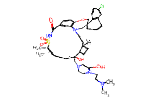 C[C@@H]1[C@@H](C)CCC[C@@](O)(CN2CCN(CCN(C)C)C(O)C2)C2CC[C@H]2CN2C[C@@]3(CCCc4cc(Cl)ccc43)COc3ccc(cc32)C(=O)NS1(=O)=O